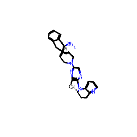 Cc1nc(N2CCC3(CC2)Cc2ccccc2[C@H]3N)cnc1N1CCCc2ncccc21